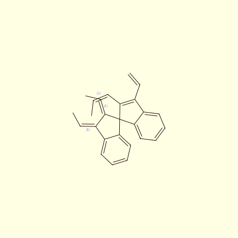 C=CC1=C(/C=C\C)C2(C(=C/C)/C(=C\C)c3ccccc32)c2ccccc21